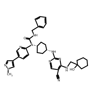 Cn1cc(-c2ccc(N(C(=O)NCc3ccccc3)[C@H]3CC[C@@H](Nc4ncc(C#N)c(NCC5(O)CCCCC5)n4)CC3)nc2)cn1